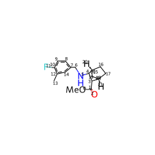 COC(=O)C1C(NCc2ccc(F)c(C)c2)[C@@H]2CC[C@H]1C2